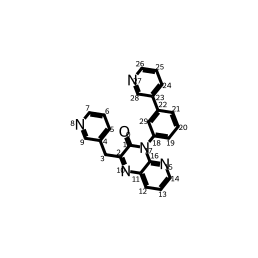 O=c1c(Cc2cccnc2)nc2cccnc2n1-c1cccc(-c2cccnc2)c1